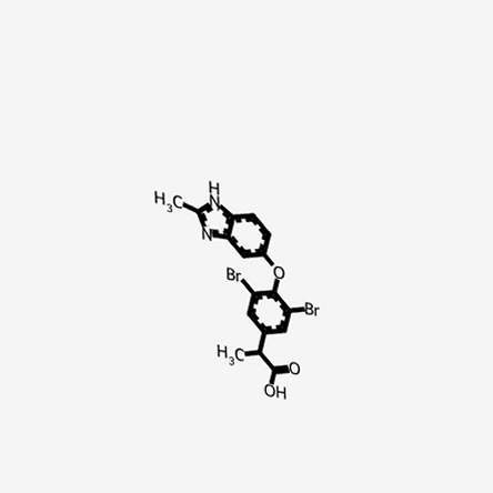 Cc1nc2cc(Oc3c(Br)cc(C(C)C(=O)O)cc3Br)ccc2[nH]1